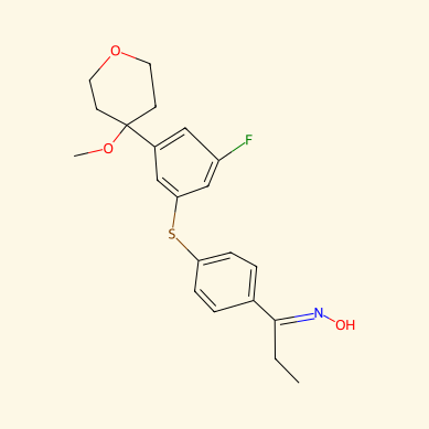 CCC(=NO)c1ccc(Sc2cc(F)cc(C3(OC)CCOCC3)c2)cc1